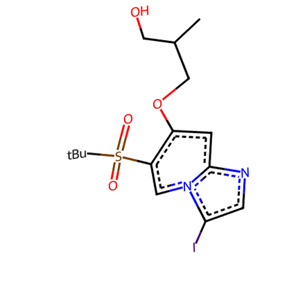 CC(CO)COc1cc2ncc(I)n2cc1S(=O)(=O)C(C)(C)C